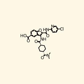 CN(C)C(=O)[C@H]1CC[C@H](C(=O)Nc2c(C(=O)Nc3ccc(Cl)cn3)oc3ccc(C(=O)O)cc23)CC1